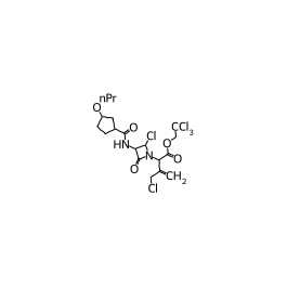 C=C(CCl)C(C(=O)OCC(Cl)(Cl)Cl)N1C(=O)C(NC(=O)C2CCC(OCCC)C2)C1Cl